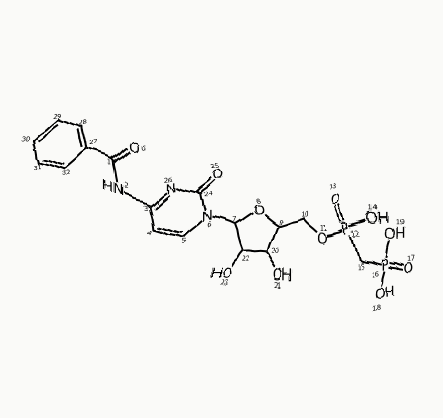 O=C(Nc1ccn(C2OC(COP(=O)(O)CP(=O)(O)O)C(O)C2O)c(=O)n1)c1ccccc1